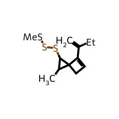 C=C(CC)C1=CCC12C(C)C2SSSC